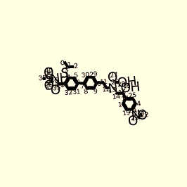 CC(C)Sc1cc(-c2ccc(CCN(C[C@H](O)c3ccc([N+](=O)[O-])cc3)C(=O)O)cc2)ccc1C(=O)NS(C)(=O)=O